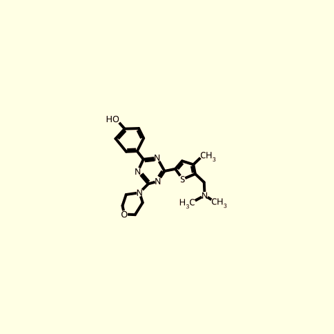 Cc1cc(-c2nc(-c3ccc(O)cc3)nc(N3CCOCC3)n2)sc1CN(C)C